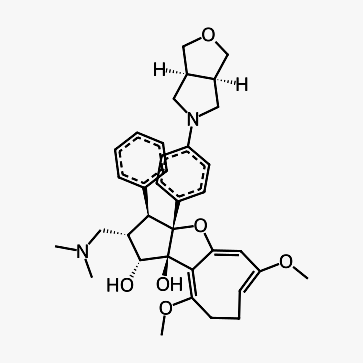 COC1=C\CC\C(OC)=C2/C(=C\1)O[C@@]1(c3ccc(N4C[C@H]5COC[C@H]5C4)cc3)[C@H](c3ccccc3)[C@@H](CN(C)C)[C@@H](O)[C@@]21O